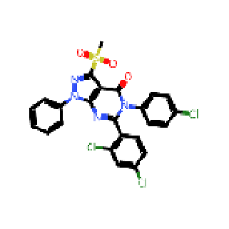 CS(=O)(=O)c1nn(-c2ccccc2)c2nc(-c3ccc(Cl)cc3Cl)n(-c3ccc(Cl)cc3)c(=O)c12